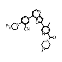 Cc1cc(C(=O)N2CCN(C)CC2)ncc1-c1cc2nccc(-c3ccc(N4CC[C@@H](F)C4)c(C#N)c3)c2o1